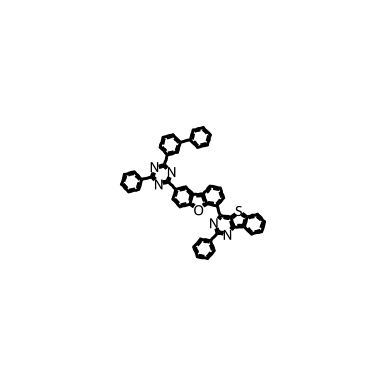 c1ccc(-c2cccc(-c3nc(-c4ccccc4)nc(-c4ccc5oc6c(-c7nc(-c8ccccc8)nc8c7sc7ccccc78)cccc6c5c4)n3)c2)cc1